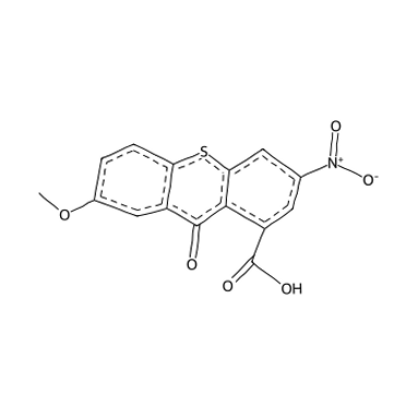 COc1ccc2sc3cc([N+](=O)[O-])cc(C(=O)O)c3c(=O)c2c1